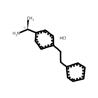 C[C@H](N)c1ccc(CCc2ccccc2)cc1.Cl